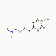 CN(C)CCCCc1ccc(F)cc1